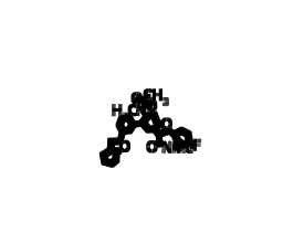 CNC(=O)c1c(-c2ccc(F)cc2)oc2cc(N(C)S(C)(=O)=O)c(-c3cccc(-c4cc5ccccc5o4)c3)cc12